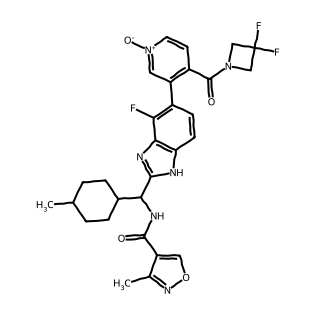 Cc1nocc1C(=O)NC(c1nc2c(F)c(-c3c[n+]([O-])ccc3C(=O)N3CC(F)(F)C3)ccc2[nH]1)C1CCC(C)CC1